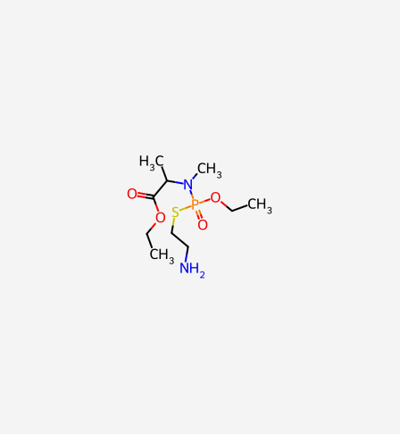 CCOC(=O)C(C)N(C)P(=O)(OCC)SCCN